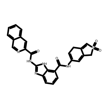 O=C(Nc1nc2cccc(C(=O)NC3=CCC4=CS(=O)(=O)CC4=C3)c2[nH]1)c1cc2ccccc2cn1